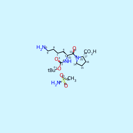 CC(C)(C)OC(=O)N[C@@H](CCCCN)C(=O)N1CCC[C@H]1C(=O)O.CS(N)(=O)=O